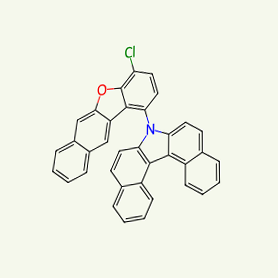 Clc1ccc(-n2c3ccc4ccccc4c3c3c4ccccc4ccc32)c2c1oc1cc3ccccc3cc12